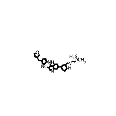 CN(C)CCNCc1cccc(-c2ccc3c(Nc4ccc(Cc5ccoc5)cc4)c(C#N)cnc3c2)c1